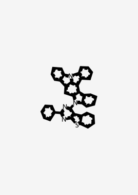 c1ccc(-c2nc(-n3c4ccccc4c4c5c6ccccc6n6c7ccccc7c(cc43)c56)c3c(n2)sc2ccccc23)cc1